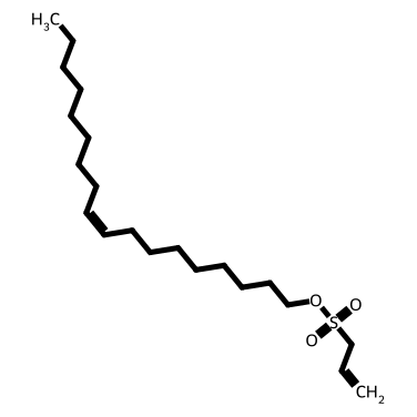 C=CCS(=O)(=O)OCCCCCCCC/C=C\CCCCCCCC